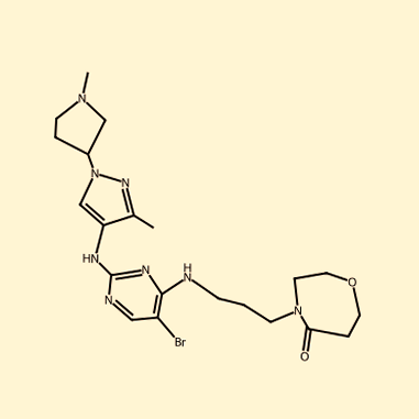 Cc1nn(C2CCN(C)C2)cc1Nc1ncc(Br)c(NCCCN2CCOCCC2=O)n1